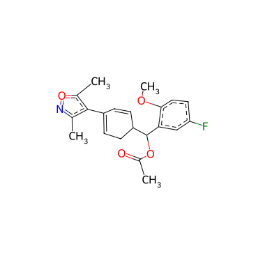 COc1ccc(F)cc1C(OC(C)=O)C1C=CC(c2c(C)noc2C)=CC1